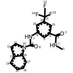 CNC(=O)c1cc(NC(=O)n2ccc3ccccc32)cc(C(F)(F)F)c1